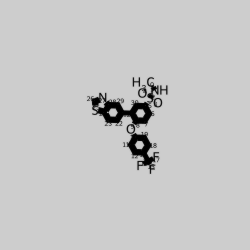 CNS(=O)(=O)c1ccc(Oc2ccc(C(F)(F)F)cc2)c(-c2ccc3scnc3c2)c1